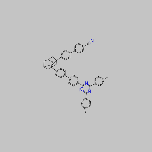 Cc1ccc(-c2nc(-c3ccc(C)cc3)nc(-c3ccc(-c4ccc(C56CC7CC(CC(c8ccc(-c9ccc(C#N)cc9)cc8)(C7)C5)C6)cc4)cc3)n2)cc1